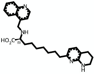 O=C(O)[C@H](CCCCCCCc1ccc2c(n1)NCCC2)NCc1ccnc2ccccc12